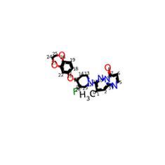 Cc1cc2nccc(=O)n2nc1N1CC[C@H](Oc2ccc3c(c2)OCCO3)[C@@H](F)C1